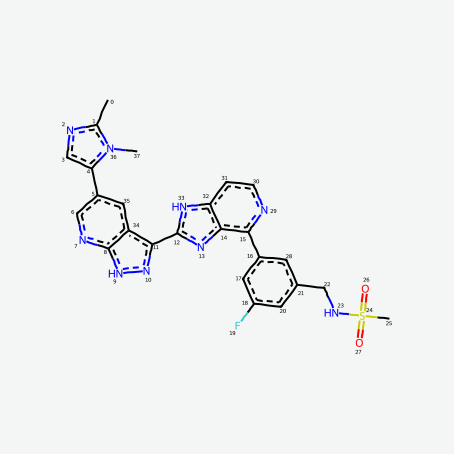 Cc1ncc(-c2cnc3[nH]nc(-c4nc5c(-c6cc(F)cc(CNS(C)(=O)=O)c6)nccc5[nH]4)c3c2)n1C